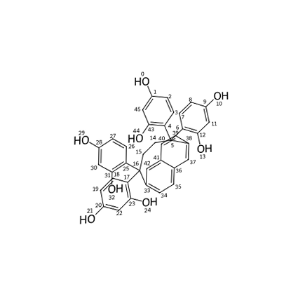 Oc1ccc(C2(c3ccc(O)cc3O)CCC(c3ccc(O)cc3O)(c3ccc(O)cc3O)c3ccc4cc2ccc4c3)c(O)c1